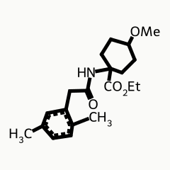 CCOC(=O)C1(NC(=O)Cc2cc(C)ccc2C)CCC(OC)CC1